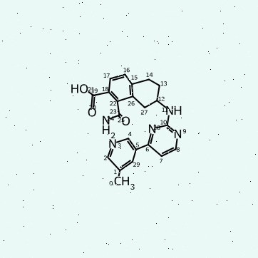 Cc1cncc(-c2ccnc(NC3CCc4ccc(C(=O)O)c(C(N)=O)c4C3)n2)c1